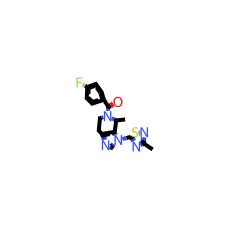 Cc1nsc(-n2cnc3c2C(C)N(C(=O)c2ccc(F)cc2)CC3)n1